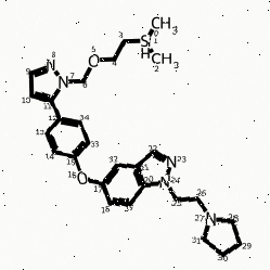 C[SiH](C)CCOCn1nccc1-c1ccc(Oc2ccc3c(cnn3CCN3CCCC3)c2)cc1